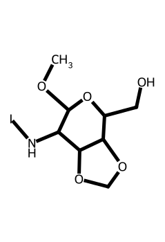 COC1OC(CO)C2OCOC2C1NI